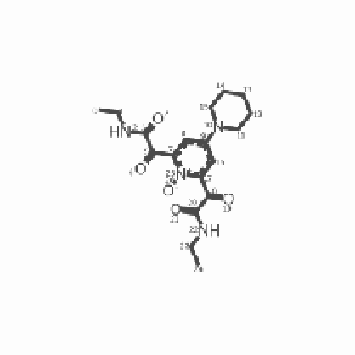 CCNC(=O)C(=O)c1cc(N2CCCCC2)cc(C(=O)C(=O)NCC)[n+]1[O-]